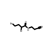 N#CCCNC(=O)C(Br)CCBr